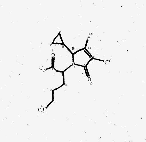 CCCCC(C(=O)O)N1C(=O)C(O)=C(F)C1C1CC1